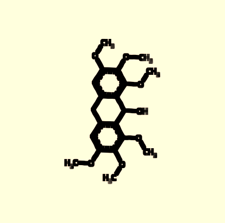 COc1cc2c(c(OC)c1OC)C(O)c1c(cc(OC)c(OC)c1OC)C2